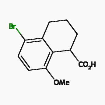 COc1ccc(Br)c2c1C(C(=O)O)CCC2